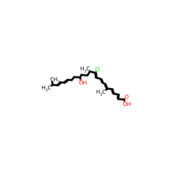 CC(/C=C/C=C/C(=O)O)=C\C=C\C=C(/Cl)C(C)CCC(O)CC/C=C/C=C/C(C)C